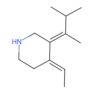 C/C=C1\CCNC\C1=C(\C)C(C)C